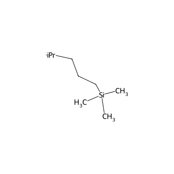 C[C](C)CCC[Si](C)(C)C